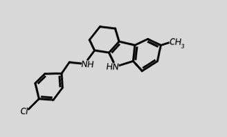 Cc1ccc2[nH]c3c(c2c1)CCCC3NCc1ccc(Cl)cc1